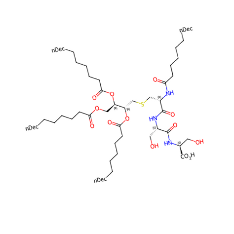 CCCCCCCCCCCCCCCC(=O)N[C@@H](CSC[C@H](OC(=O)CCCCCCCCCCCCCCC)[C@@H](COC(=O)CCCCCCCCCCCCCCC)OC(=O)CCCCCCCCCCCCCCC)C(=O)N[C@@H](CO)C(=O)N[C@@H](CO)C(=O)O